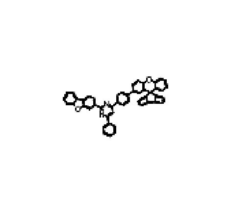 c1ccc(-c2cc(-c3ccc(-c4ccc5c(c4)C4(c6ccccc6O5)c5ccccc5-c5ccccc54)cc3)nc(-c3ccc4c(c3)oc3ccccc34)n2)cc1